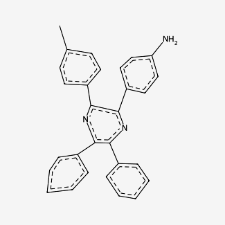 Cc1ccc(-c2nc(-c3ccccc3)c(-c3ccccc3)nc2-c2ccc(N)cc2)cc1